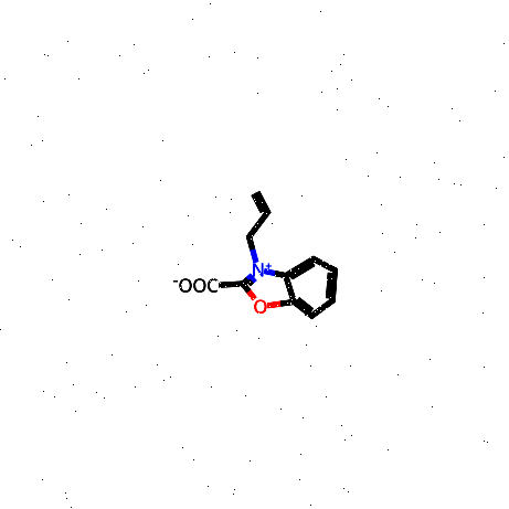 C=CC[n+]1c(C(=O)[O-])oc2ccccc21